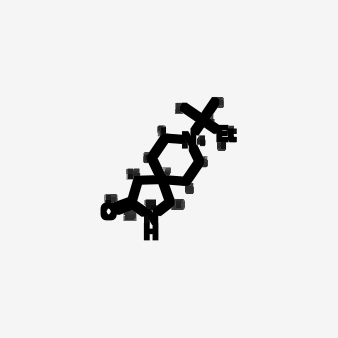 CCC(C)(C)N1CCC2(CC1)CNC(=O)C2